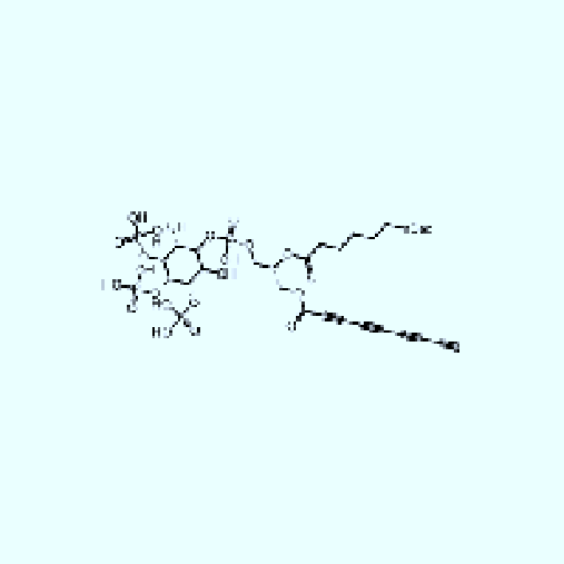 C#CC#CC#CC#CC(=O)OC[C@H](COP(=O)(O)OC1C(O)[C@H](OP(=O)(O)O)[C@H](OP(=O)(O)O)C(OP(=O)(O)O)[C@@H]1O)OC(=O)CCCCCCCCCCCCCCC